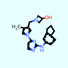 Cc1cn(-c2ccnc(Nc3ccc4c(c3)CCC4)n2)cc1CN1CC(O)C1